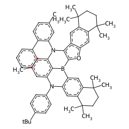 Cc1ccc(-c2ccccc2)c(N2c3cc(C)cc4c3B(c3cc5c(cc3N4c3ccc(C(C)(C)C)cc3)C(C)(C)CCC5(C)C)c3oc4cc5c(cc4c32)C(C)(C)CCC5(C)C)c1